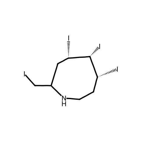 ICC1C[C@H](I)[C@H](I)[C@H](I)CCN1